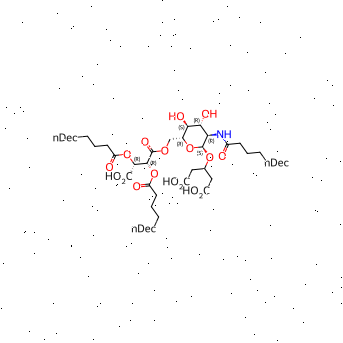 CCCCCCCCCCCCCC(=O)N[C@H]1[C@@H](OC(CC(=O)O)CC(=O)O)O[C@H](COC(=O)[C@H](OC(=O)CCCCCCCCCCCCC)[C@@H](OC(=O)CCCCCCCCCCCCC)C(=O)O)[C@@H](O)[C@@H]1O